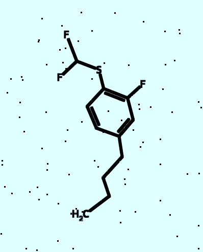 [CH2]CCCc1ccc(SC(F)F)c(F)c1